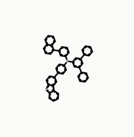 c1ccc(-c2cc(-c3ccccc3)cc(N(c3ccc(-c4ccc5sc6ccccc6c5c4)cc3)c3cccc(-c4cccc5ccccc45)c3)c2)cc1